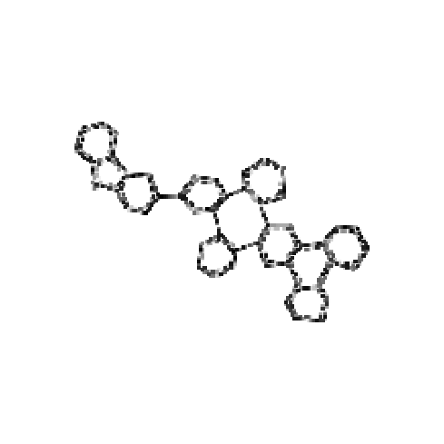 c1ccc2c(c1)-c1ccc(-c3ccc4sc5ccccc5c4c3)cc1-c1ccccc1-c1cc3c4ccccc4c4ccccc4c3cc1-2